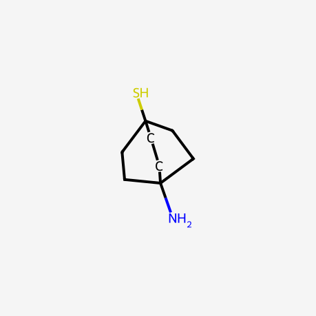 NC12CCC(S)(CC1)CC2